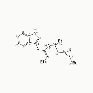 CC/C=C(\Cc1c[nH]c2ccccc12)NC(CC)CC1CC1C(C)CC